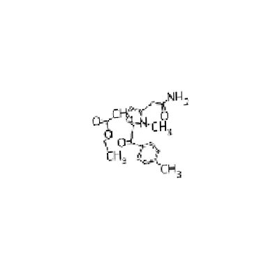 CCOC(C)=O.Cc1ccc(C(=O)c2ccc(CC(N)=O)n2C)cc1